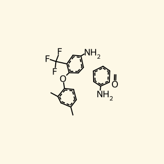 C=O.Cc1ccc(Oc2ccc(N)cc2C(F)(F)F)c(C)c1.Nc1ccccc1